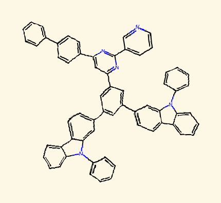 c1ccc(-c2ccc(-c3cc(-c4cc(-c5ccc6c7ccccc7n(-c7ccccc7)c6c5)cc(-c5ccc6c7ccccc7n(-c7ccccc7)c6c5)c4)nc(-c4cccnc4)n3)cc2)cc1